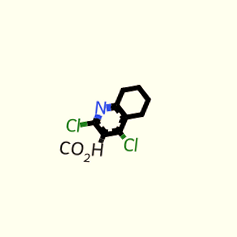 O=C(O)c1c(Cl)nc2c(c1Cl)CCCC2